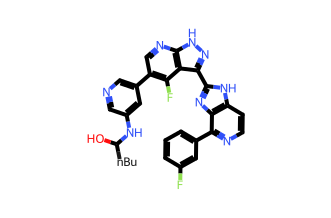 CCCCC(O)Nc1cncc(-c2cnc3[nH]nc(-c4nc5c(-c6cccc(F)c6)nccc5[nH]4)c3c2F)c1